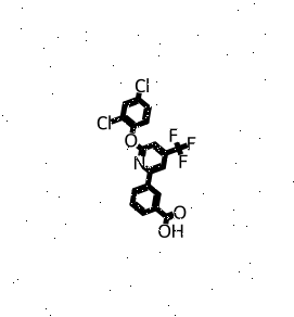 O=C(O)c1cccc(-c2cc(C(F)(F)F)cc(Oc3ccc(Cl)cc3Cl)n2)c1